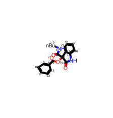 CCCCNC(=O)C1(OC(=O)c2ccccc2)C(=O)Nc2ccccc21